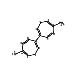 PC1=CCC=C(C2=CCC=C(S)C=C2)C=C1